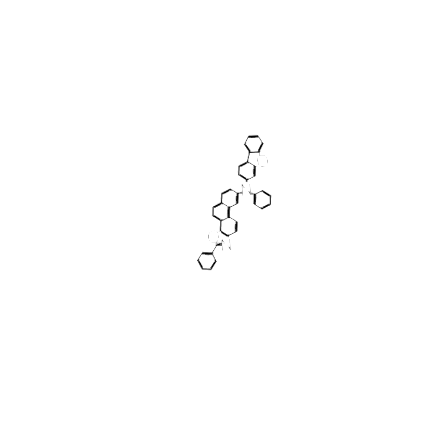 c1ccc(-c2nc3ccc4c5cc(N(c6ccccc6)c6ccc7c(c6)oc6ccccc67)ccc5ccc4c3o2)cc1